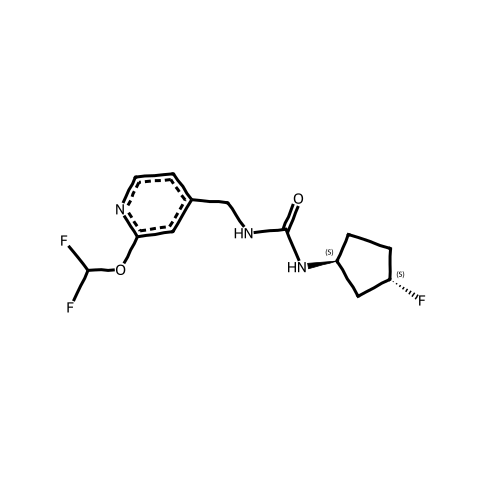 O=C(NCc1ccnc(OC(F)F)c1)N[C@H]1CC[C@H](F)C1